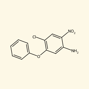 Nc1cc(Oc2ccccc2)c(Cl)cc1[N+](=O)[O-]